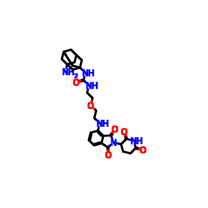 NC12CC3CC(C1)CC(NC(=O)NCCOCCNc1cccc4c1C(=O)N(C1CCC(=O)NC1=O)C4=O)(C3)C2